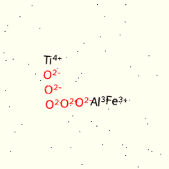 [Al+3].[Fe+3].[O-2].[O-2].[O-2].[O-2].[O-2].[Ti+4]